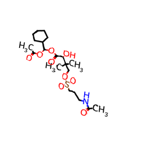 CC(=O)NCCCS(=O)(=O)OCC(C)(C)[C@@H](O)C(=O)OC(OC(C)=O)C1CCCCC1